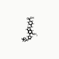 CC(C)(C)[Si](C)(C)O[C@H]1CCN(c2cc3cnn(CC4CCN(C(=O)O)CC4)c3cc2N)C1